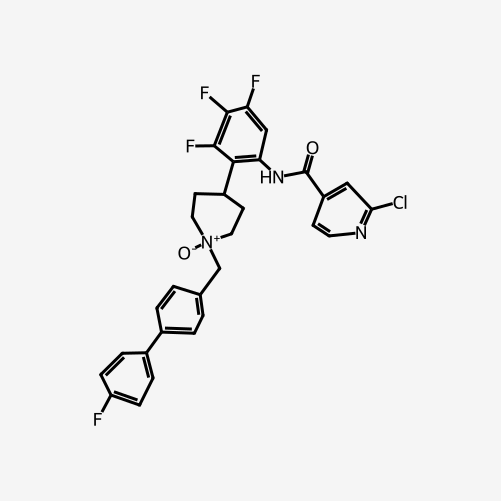 O=C(Nc1cc(F)c(F)c(F)c1C1CC[N+]([O-])(Cc2ccc(-c3ccc(F)cc3)cc2)CC1)c1ccnc(Cl)c1